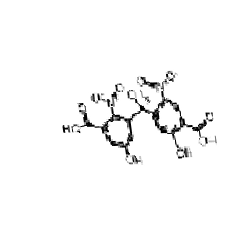 CC(c1cc(O)c(C(=O)O)cc1[N+](=O)[O-])c1cc(O)cc(C(=O)O)c1[N+](=O)[O-]